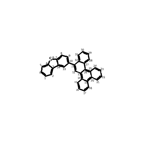 c1ccc2c(c1)sc1ccc(-c3cc4c5ccccc5c5ccccc5c4c4ccccc34)cc12